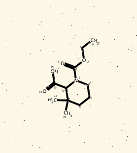 CCOC(=O)N1CCCC(C)(C)C1C(=O)O